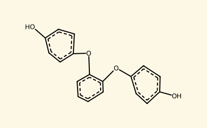 Oc1ccc(Oc2ccccc2Oc2ccc(O)cc2)cc1